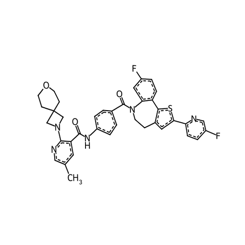 Cc1cnc(N2CC3(CCOCC3)C2)c(C(=O)Nc2ccc(C(=O)N3CCc4cc(-c5ccc(F)cn5)sc4-c4ccc(F)cc43)cc2)c1